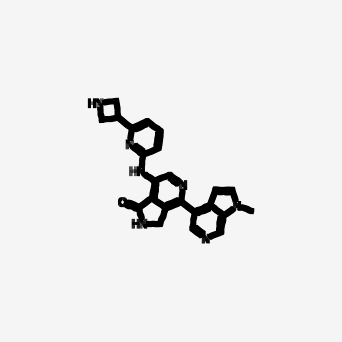 Cn1ccc2c(-c3ncc(Nc4cccc(C5CNC5)n4)c4c3CNC4=O)cncc21